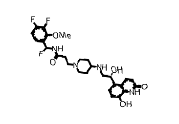 COc1c(C(F)NC(=O)CCN2CCC(NC[C@H](O)c3ccc(O)c4[nH]c(=O)ccc34)CC2)ccc(F)c1F